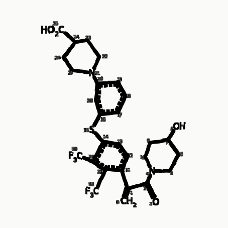 C=C(C(=O)N1CCC(O)CC1)c1ccc(Sc2cccc(N3CCC(C(=O)O)CC3)c2)c(C(F)(F)F)c1C(F)(F)F